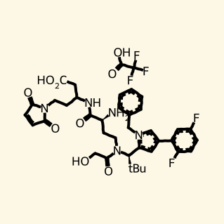 CC(C)(C)[C@H](c1cc(-c2cc(F)ccc2F)cn1Cc1ccccc1)N(CC[C@H](N)C(=O)NC(CCN1C(=O)C=CC1=O)CC(=O)O)C(=O)CO.O=C(O)C(F)(F)F